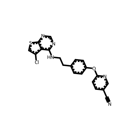 N#Cc1ccc(Oc2ccc(CCNc3ncnc4scc(Cl)c34)cc2)nc1